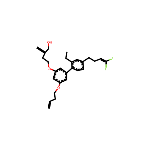 C=CCCOc1cc(OCCC(=C)CO)cc(-c2ccc(CCC=C(F)F)cc2CC)c1